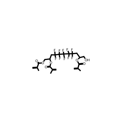 C=C(C)C(=O)OCC(CC(F)(F)C(F)(F)C(F)(F)C(F)(F)C(F)(F)CC(CO)OC(=O)C(=C)C)OC(=O)C(=C)C